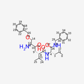 CC(C)C[C@H](NC(=O)[C@@H](C[C@H](O)[C@@H](N)COCc1ccccc1)C(C)C)C(=O)NCc1ccccc1